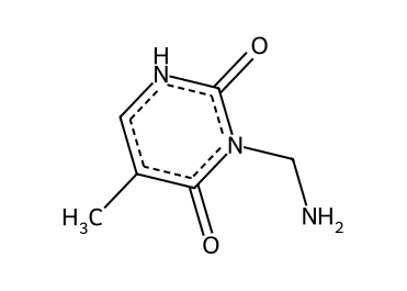 Cc1c[nH]c(=O)n(CN)c1=O